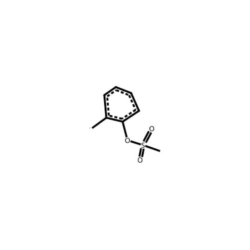 [CH2]c1ccccc1OS(C)(=O)=O